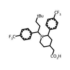 CC(C)(C)CCC(c1ccc(C(F)(F)F)cc1)N1CCC(CC(=O)O)CC1c1ccc(C(F)(F)F)cc1